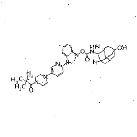 CC(C)(C)C(=O)N1CCN(c2ccc(N3CCN(OC(=O)NC4[C@@H]5CC6C[C@H]4CC(O)(C6)C5)c4ccccc43)nc2)CC1